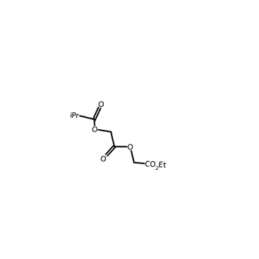 CCOC(=O)COC(=O)COC(=O)C(C)C